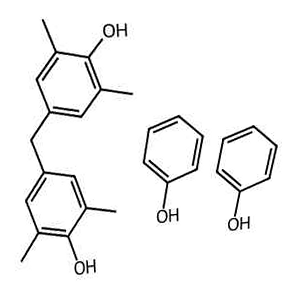 Cc1cc(Cc2cc(C)c(O)c(C)c2)cc(C)c1O.Oc1ccccc1.Oc1ccccc1